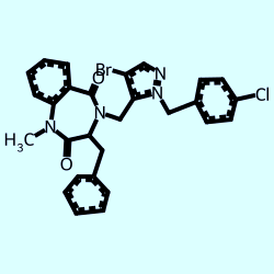 CN1C(=O)C(Cc2ccccc2)N(Cc2c(Br)cnn2Cc2ccc(Cl)cc2)C(=O)c2ccccc21